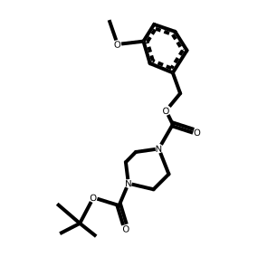 COc1cccc(COC(=O)N2CCN(C(=O)OC(C)(C)C)CC2)c1